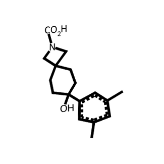 Cc1cc(C)cc(C2(O)CCC3(CC2)CN(C(=O)O)C3)c1